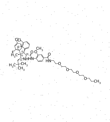 CCCOCCOCCOCCOCCNC(=O)c1ccc(NC(=O)[C@@H]2N[C@@H](CC(C)(C)C)[C@](C)(c3ccc(Cl)cc3F)[C@H]2c2cccc(Cl)c2F)c(OC)c1